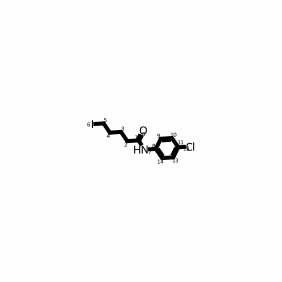 O=C(CCCCI)Nc1ccc(Cl)cc1